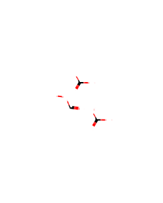 O=C(O)O.O=C(O)O.O=COO